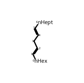 [CH2]CCCCCC=CCC=CCCCCCCC